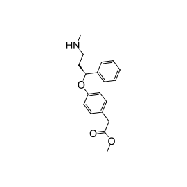 CNCC[C@H](Oc1ccc(CC(=O)OC)cc1)c1ccccc1